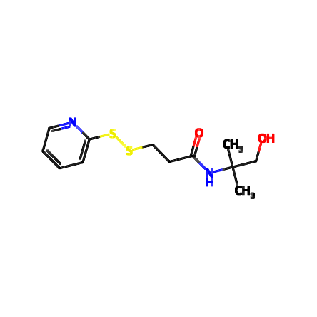 CC(C)(CO)NC(=O)CCSSc1ccccn1